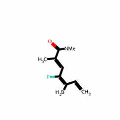 B/C(C=C)=C(F)/C=C(\C)C(=O)NC